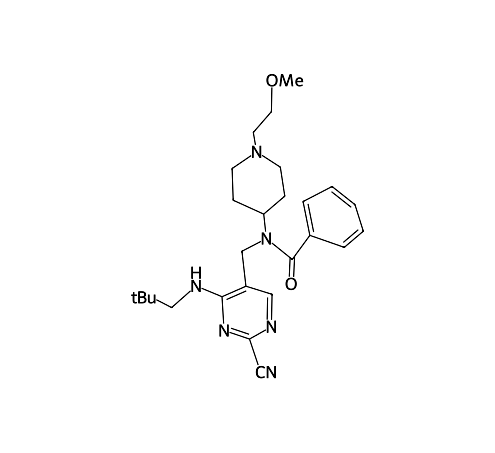 COCCN1CCC(N(Cc2cnc(C#N)nc2NCC(C)(C)C)C(=O)c2ccccc2)CC1